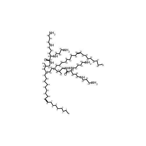 CCCCCCCC/C=C\CCCCCCCCN(CCN(CCCCCCCC/C=C\CCCCCCCC)CC(C)CNC(=O)C(CCCNCCCN)NCCCCN)CC(C)CNC(=O)C(CCCNCCCN)NCCCN